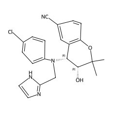 CC1(C)Oc2ccc(C#N)cc2[C@@H](N(Cc2ncc[nH]2)c2ccc(Cl)cc2)[C@H]1O